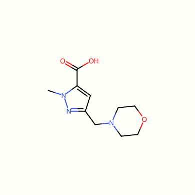 Cn1nc(CN2CCOCC2)cc1C(=O)O